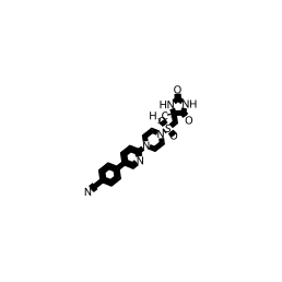 C[C@]1(CS(=O)(=O)N2CCN(c3ccc(-c4ccc(C#N)cc4)cn3)CC2)NC(=O)NC1=O